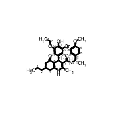 CCCC1CC(=O)C2=C(C1)NC(C)=C(C(=O)N[C@@H](C)c1ccc(OC)cc1)C2c1cc(Br)c(O)c(OCC)c1